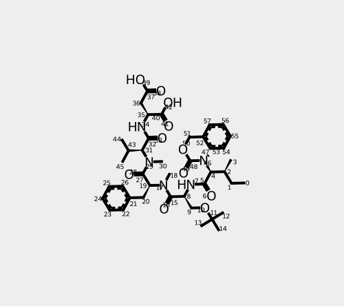 CC[C@H](C)[C@@H](C(=O)N[C@@H](COC(C)(C)C)C(=O)N(C)[C@@H](Cc1ccccc1)C(=O)N(C)[C@H](C(=O)N[C@@H](CC(=O)O)C(=O)O)C(C)C)N(C)C(=O)OCc1ccccc1